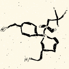 NCC1=C[N+](c2ccc(CO)cc2)(S(=O)(=O)CC(F)(F)F)CC=C1